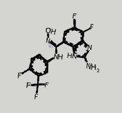 Nc1nc2c(F)c(F)cc(/C(=N\O)Nc3ccc(F)c(C(F)(F)F)c3)c2[nH]1